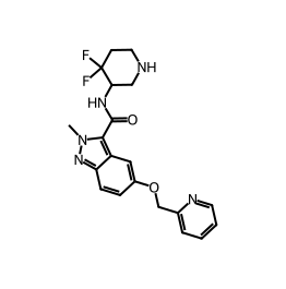 Cn1nc2ccc(OCc3ccccn3)cc2c1C(=O)NC1CNCCC1(F)F